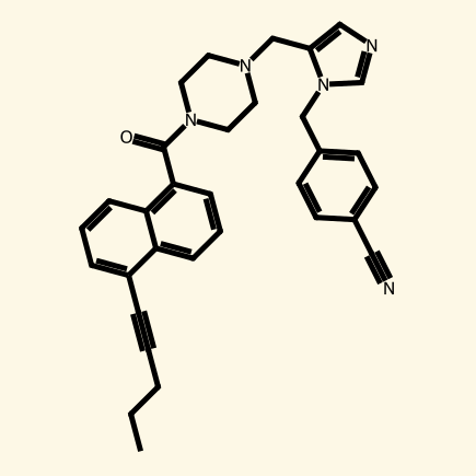 CCCC#Cc1cccc2c(C(=O)N3CCN(Cc4cncn4Cc4ccc(C#N)cc4)CC3)cccc12